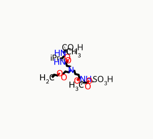 C=CCOC(=O)CCN(CCCC(=O)N[C@@H](C)C(=O)OCS(=O)(=O)O)CCC(=O)N[C@H](C(=O)N[C@@H](C)C(=O)O)C(C)C